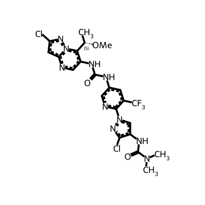 CO[C@@H](C)c1c(NC(=O)Nc2cnc(-n3cc(NC(=O)N(C)C)c(Cl)n3)c(C(F)(F)F)c2)cnc2cc(Cl)nn12